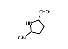 CCCCC1CC[C@@H]([C]=O)N1